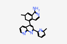 Cc1cccc(-c2cc(C3=c4ccnc(N)c4=CC(C)C3)c3cccnc3n2)n1